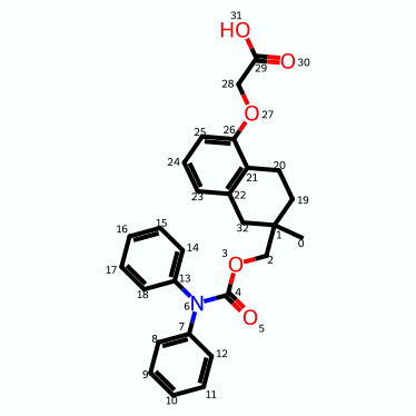 CC1(COC(=O)N(c2ccccc2)c2ccccc2)CCc2c(cccc2OCC(=O)O)C1